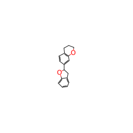 c1ccc2c(c1)CC(c1ccc3c(c1)OCCC3)O2